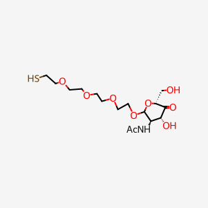 CC(=O)N[C@H]1C(OCCOCCOCCOCCS)O[C@H](CO)C(=O)[C@@H]1O